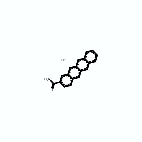 Cl.NC(=O)c1ccc2cc3cc4ccccc4cc3cc2c1